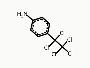 Nc1ccc(C(Cl)(Cl)C(Cl)(Cl)Cl)cc1